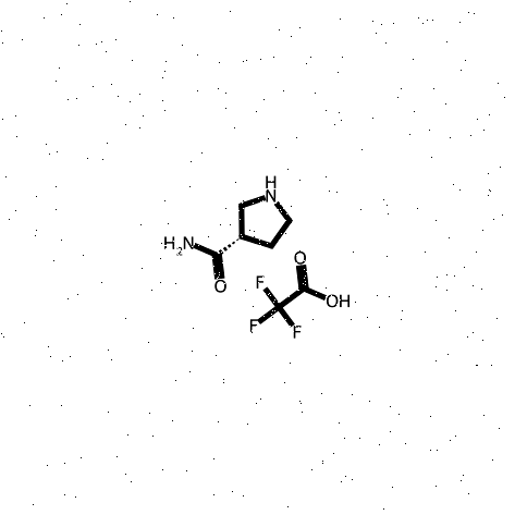 NC(=O)[C@H]1CCNC1.O=C(O)C(F)(F)F